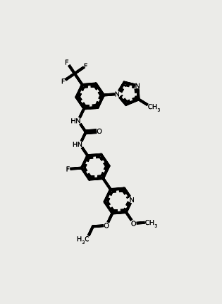 CCOc1cc(-c2ccc(NC(=O)Nc3cc(-n4cnc(C)c4)cc(C(F)(F)F)c3)c(F)c2)cnc1OC